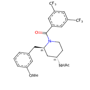 COc1cccc(C[C@@H]2C[C@@H](NC(C)=O)CCN2C(=O)c2cc(C(F)(F)F)cc(C(F)(F)F)c2)c1